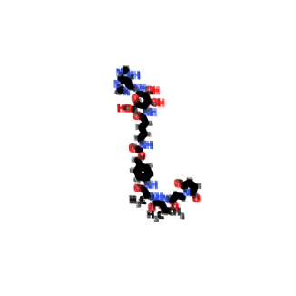 CC(C)[C@H](NC(=O)CCN1C(=O)C=CC1=O)C(=O)N[C@@H](C)C(=O)Nc1ccc(COC(=O)NCCCCC(=O)N[C@@H]2[C@@H](O)[C@H](O)[C@@H](Nc3ncnc4nc[nH]c34)O[C@H]2CO)cc1